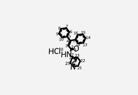 Cl.O=C(C=C(c1ccccc1)c1ccccc1)NC1CN2CCC1CC2